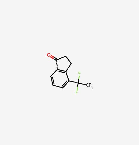 O=C1CCc2c1cccc2C(F)(F)C(F)(F)F